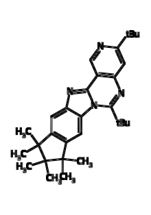 CC(C)(C)c1cc2nc(C(C)(C)C)n3c4cc5c(cc4nc3c2cn1)C(C)(C)C(C)(C)C5(C)C